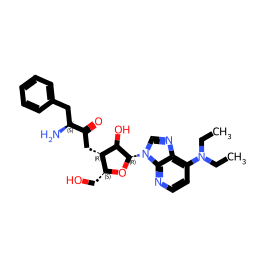 CCN(CC)c1ccnc2c1ncn2[C@@H]1O[C@H](CO)[C@H](CC(=O)[C@@H](N)Cc2ccccc2)C1O